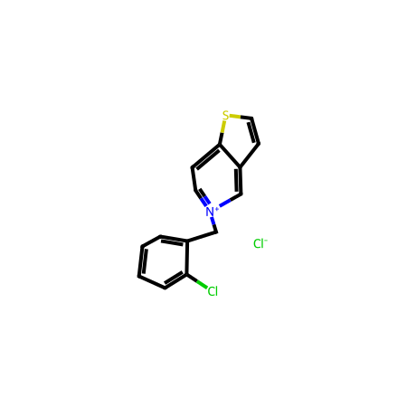 Clc1ccccc1C[n+]1ccc2sccc2c1.[Cl-]